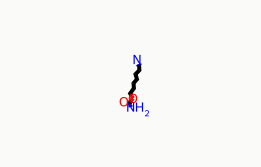 N#CCCCCCCOC(N)=O